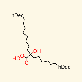 CCCCCCCCCCCCCCCCCCC(O)(CCCCCCCCCCCCCCCC)C(=O)OO